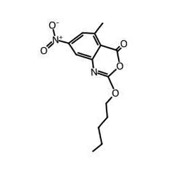 CCCCCOc1nc2cc([N+](=O)[O-])cc(C)c2c(=O)o1